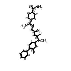 CC(c1ccc(-c2ccccc2)c(F)c1)c1cc(C/N=C(\N)N2CCC(C(N)=O)CC2)no1